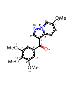 COc1ccc2c(C(=O)c3cc(OC)c(OC)c(OC)c3)cnn2c1